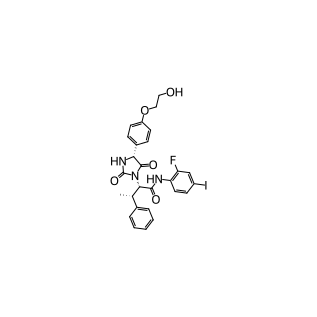 C[C@@H](c1ccccc1)[C@@H](C(=O)Nc1ccc(I)cc1F)N1C(=O)N[C@H](c2ccc(OCCO)cc2)C1=O